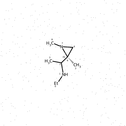 CCNC(C)[C@]1(C)CN1C